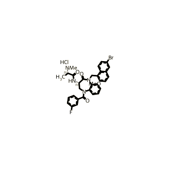 CN[C@@H](C)C(=O)N[C@H]1CN(C(=O)c2cccc(F)c2)c2ccccc2N(Cc2c(OC)ccc3cc(Br)ccc23)C1=O.Cl